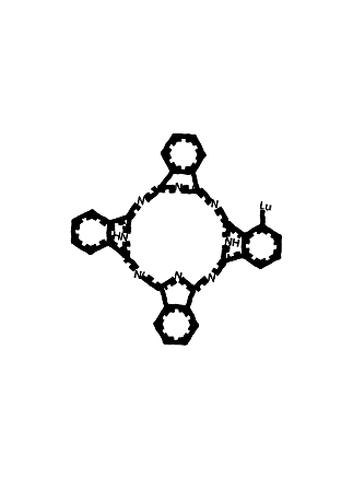 [Lu][c]1cccc2c3nc4nc(nc5[nH]c(nc6nc(nc([nH]3)c12)-c1ccccc1-6)c1ccccc51)-c1ccccc1-4